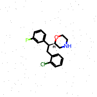 Fc1cccc(C(Cc2ccccc2Cl)[C@@H]2CNCCO2)c1